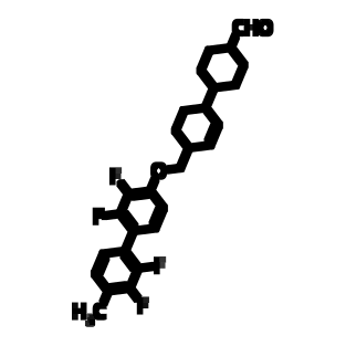 Cc1ccc(-c2ccc(OCC3C=CC(C4CCC(C=O)CC4)CC3)c(F)c2F)c(F)c1F